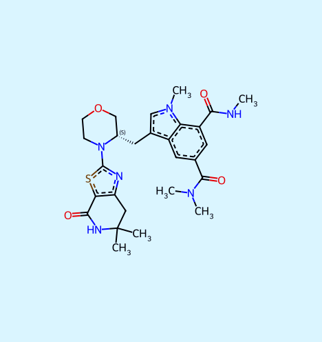 CNC(=O)c1cc(C(=O)N(C)C)cc2c(C[C@H]3COCCN3c3nc4c(s3)C(=O)NC(C)(C)C4)cn(C)c12